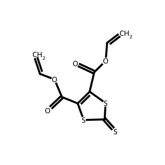 C=COC(=O)c1sc(=S)sc1C(=O)OC=C